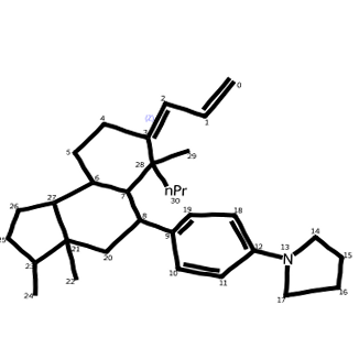 C=C/C=C1/CCC2C(C(c3ccc(N4CCCC4)cc3)CC3(C)C(C)CCC23)C1(C)CCC